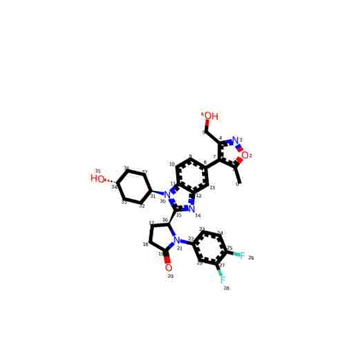 Cc1onc(CO)c1-c1ccc2c(c1)nc([C@@H]1CCC(=O)N1c1ccc(F)c(F)c1)n2[C@H]1CC[C@H](O)CC1